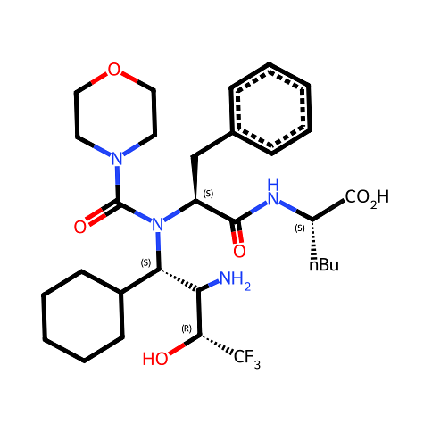 CCCC[C@H](NC(=O)[C@H](Cc1ccccc1)N(C(=O)N1CCOCC1)[C@@H](C1CCCCC1)C(N)[C@@H](O)C(F)(F)F)C(=O)O